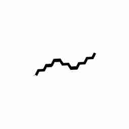 [CH2]CC/C=C/C=C\CC/C=C\CCCCC